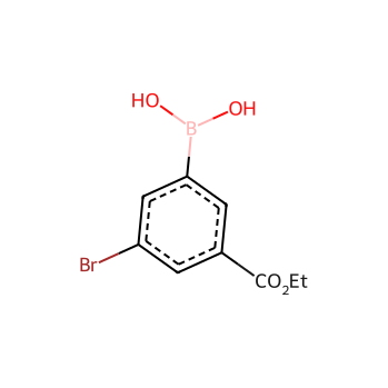 CCOC(=O)c1cc(Br)cc(B(O)O)c1